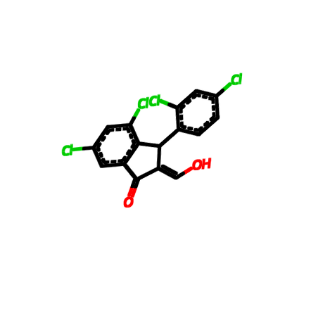 O=C1/C(=C/O)C(c2ccc(Cl)cc2Cl)c2c(Cl)cc(Cl)cc21